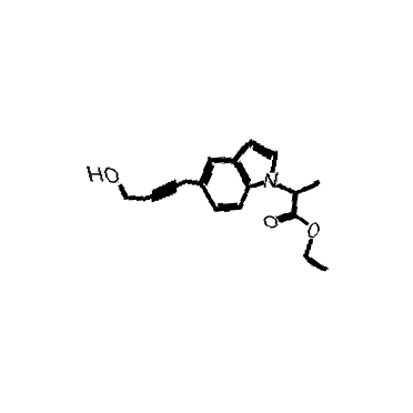 CCOC(=O)C(C)n1ccc2cc(C#CCO)ccc21